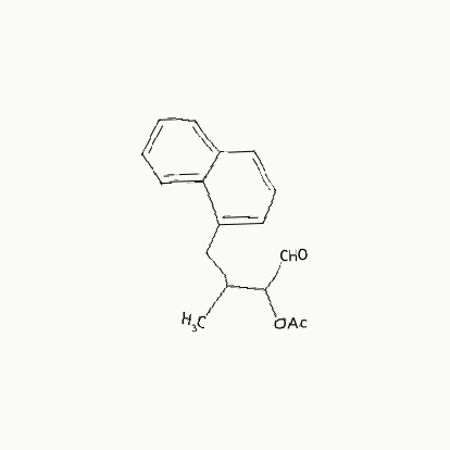 CC(=O)OC(C=O)C(C)Cc1cccc2ccccc12